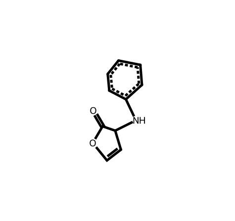 O=C1OC=CC1Nc1ccccc1